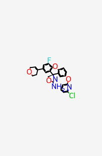 NC1=N[C@@]2(CO1)c1cc(Oc3cccc(Cl)n3)ccc1Oc1c(F)cc(C3=CCOCC3)cc12